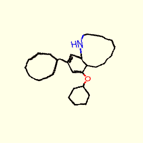 C1=C(C2CCCCCCC2)C=C(OC2CCCCC2)C2CCCCCCCNC12